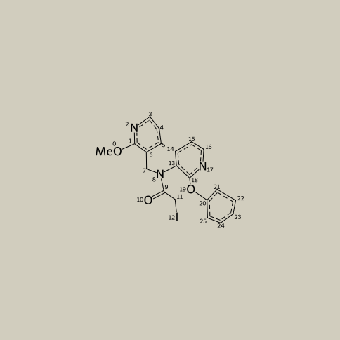 COc1ncccc1CN(C(=O)CI)c1cccnc1Oc1ccccc1